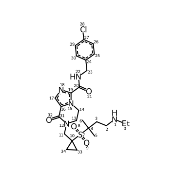 CCNCCC(C)(C)S(=O)(=O)C1(CN2CCn3c(cnc3C(=O)NCc3ccc(Cl)cc3)C2=O)CC1